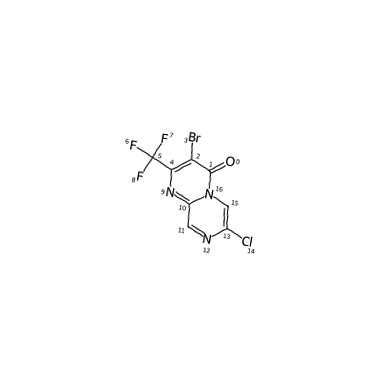 O=c1c(Br)c(C(F)(F)F)nc2cnc(Cl)cn12